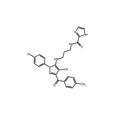 Cc1ccc(C(=O)c2nn(-c3ccc(Cl)cc3)c(NCCCNC(=O)c3ncc[nH]3)c2C#N)cc1